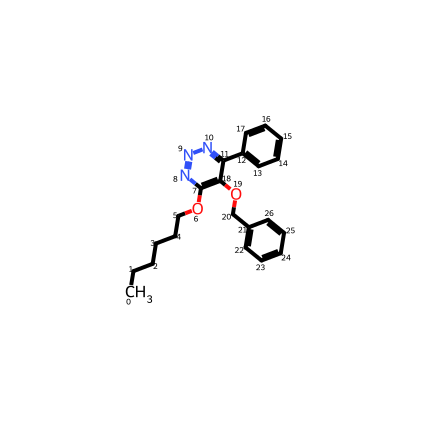 CCCCCCOc1nnnc(-c2ccccc2)c1OCc1ccccc1